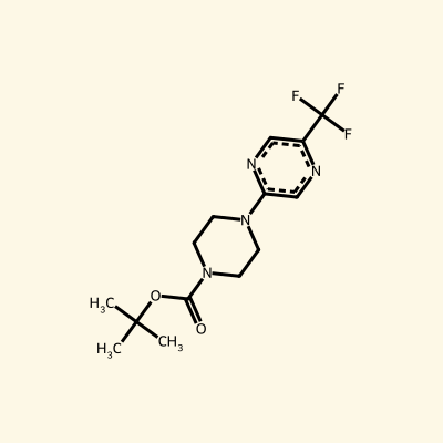 CC(C)(C)OC(=O)N1CCN(c2cnc(C(F)(F)F)cn2)CC1